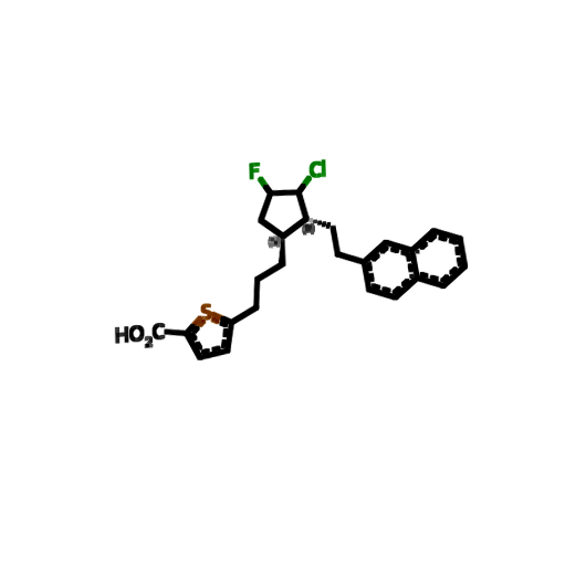 O=C(O)c1ccc(CCC[C@H]2CC(F)C(Cl)[C@@H]2CCc2ccc3ccccc3c2)s1